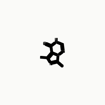 Cc1nc(C)n2nc[nH]c(=O)c12